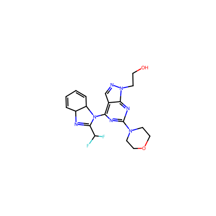 OCCn1ncc2c(N3C(C(F)F)=NC4C=CC=CC43)nc(N3CCOCC3)nc21